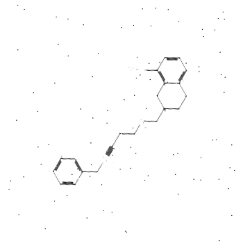 COc1cccc2c1CC(CNCCC#[N+]Cc1ccccc1)CC2